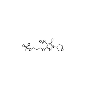 CS(=O)(=O)OCCCOc1nn(C2CCOC2)c(Cl)c1[N+](=O)[O-]